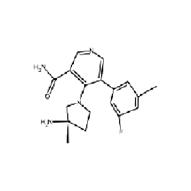 Cc1cc(F)cc(-c2cncc(C(N)=O)c2N2CC[C@](C)(N)C2)c1